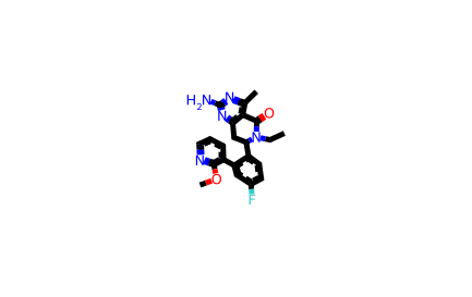 CCN1C(=O)c2c(C)nc(N)nc2CC1c1ccc(F)cc1-c1cccnc1OC